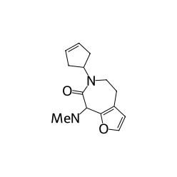 CNC1C(=O)N(C2CC=CC2)CCc2ccoc21